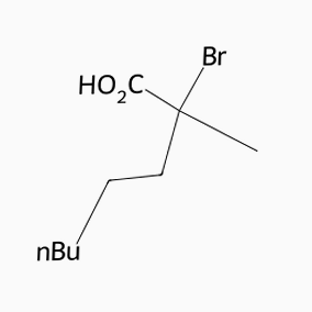 CCCCCCC(C)(Br)C(=O)O